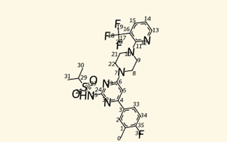 Cc1cc(-c2cc(N3CCN(c4ncccc4C(F)(F)F)CC3)nc(NS(=O)(=O)C(C)C)n2)ccc1F